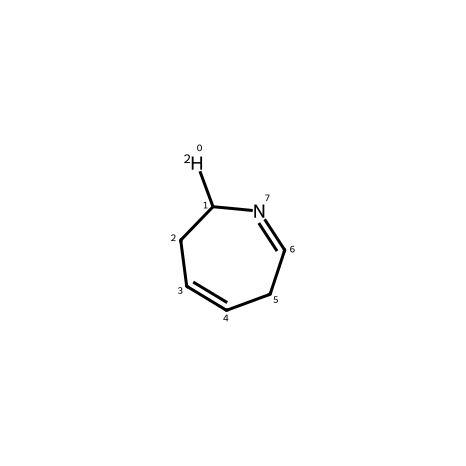 [2H]C1CC=CCC=N1